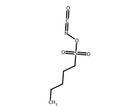 CCCCCS(=O)(=O)ON=C=O